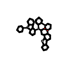 c1ccc(-c2ccccc2N(c2ccc3ccc4c5ccccc5oc4c3c2)c2cccc3c2c2ccccc2n3-c2ccccc2)cc1